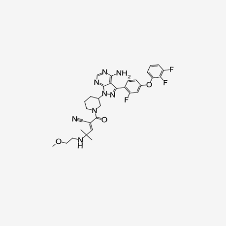 COCCNC(C)(C)C=C(C#N)C(=O)N1CCCC(n2nc(-c3ccc(Oc4cccc(F)c4F)cc3F)c3c(N)ncnc32)C1